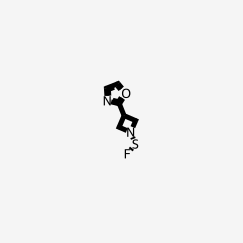 FSN1CC(c2ncco2)C1